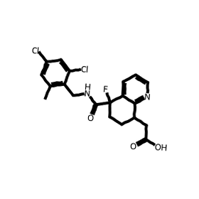 Cc1cc(Cl)cc(Cl)c1CNC(=O)C1(F)CCC(CC(=O)O)c2ncccc21